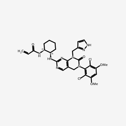 C=CC(=O)N[C@H]1CCCC[C@H]1Nc1ncc2c(n1)N(Cc1cc[nH]n1)C(=O)N(c1c(Cl)c(OC)cc(OC)c1Cl)C2